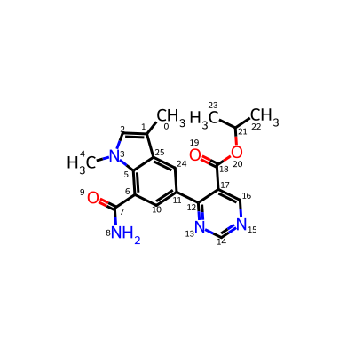 Cc1cn(C)c2c(C(N)=O)cc(-c3ncncc3C(=O)OC(C)C)cc12